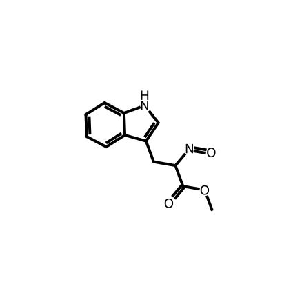 COC(=O)C(Cc1c[nH]c2ccccc12)N=O